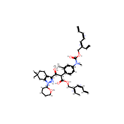 C=C/C=C\C=C(/C=C)COC(=O)N(C)c1ccc(C(C(=O)OCC(/C=C\C=C)=C/C)C(=O)c2nn(C3CCCCO3)c3c2CCC(C)(C)C3)c([N+](=O)[O-])c1